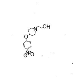 O=[N+]([O-])c1ccc(OC2CCN(CCO)CC2)cc1